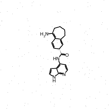 NC1=C2C=C[C@@H](C(=O)Nc3ccnc4[nH]ccc34)C=C2CCCC1